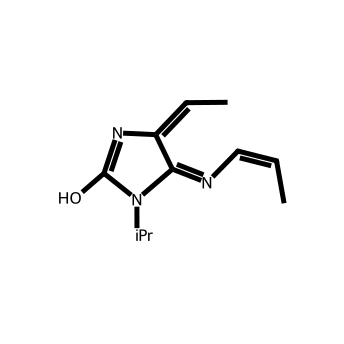 C\C=C/N=C1\C(=C/C)N=C(O)N1C(C)C